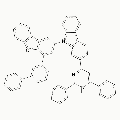 C1=C(c2ccccc2)NC(c2ccccc2)N=C1c1ccc2c3ccccc3n(-c3cc(-c4cccc(-c5ccccc5)c4)c4oc5ccccc5c4c3)c2c1